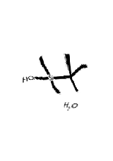 CC(C)(C)[Si](C)(C)O.O